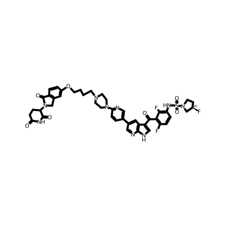 O=C1CCC(N2Cc3cc(OCCCCN4CCN(c5ccc(-c6cnc7[nH]cc(C(=O)c8c(F)ccc(NS(=O)(=O)N9CC[C@@H](F)C9)c8F)c7c6)cn5)CC4)ccc3C2=O)C(=O)N1